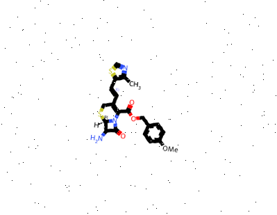 COc1ccc(COC(=O)C2=C(/C=C/c3scnc3C)CS[C@@H]3C(N)C(=O)N23)cc1